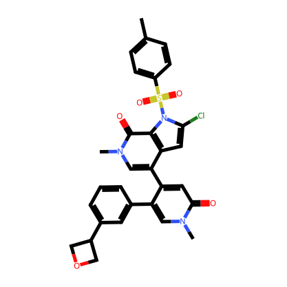 Cc1ccc(S(=O)(=O)n2c(Cl)cc3c(-c4cc(=O)n(C)cc4-c4cccc(C5COC5)c4)cn(C)c(=O)c32)cc1